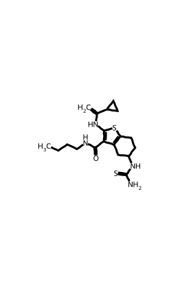 C=C(Nc1sc2c(c1C(=O)NCCCC)CC(NC(N)=S)CC2)C1CC1